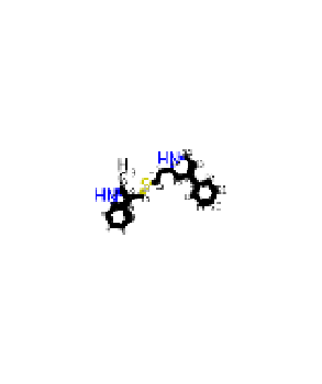 Cc1[nH]c2ccccc2c1CSCCC1CC(c2ccccc2)=CCN1